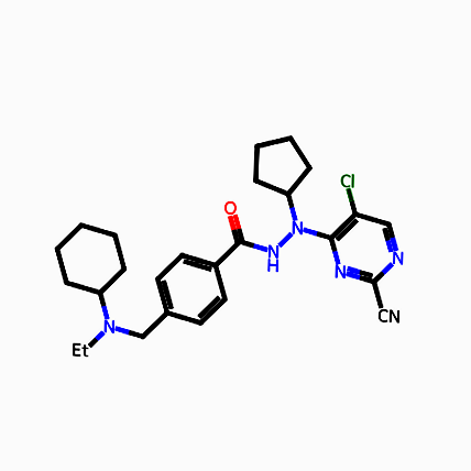 CCN(Cc1ccc(C(=O)NN(c2nc(C#N)ncc2Cl)C2CCCC2)cc1)C1CCCCC1